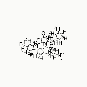 [2H]c1c([2H])c(C([2H])([2H])Sc2nc(=O)c3c(n2CC(=O)N(Cc2c([2H])c([2H])c(-c4c([2H])c([2H])c(C(F)(F)F)c([2H])c4[2H])c([2H])c2C)C([2H])([2H])C([2H])([2H])N(CC)CC)CCC3)c([2H])c([2H])c1F